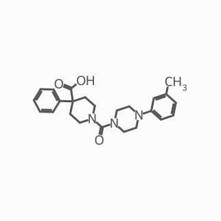 Cc1cccc(N2CCN(C(=O)N3CCC(C(=O)O)(c4ccccc4)CC3)CC2)c1